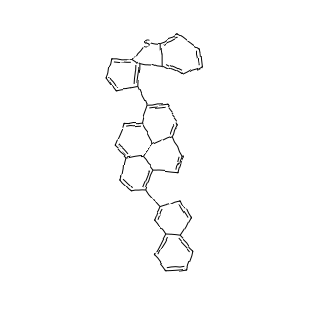 C1=CC2=C(c3ccc4ccccc4c3)C=CC3=CC=C4C(c5cccc6sc7ccccc7c56)=CC=C1C4C32